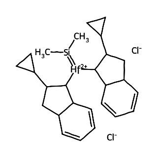 C[Si](C)=[Hf+2]([CH]1C2C=CC=CC2CC1C1CC1)[CH]1C2C=CC=CC2CC1C1CC1.[Cl-].[Cl-]